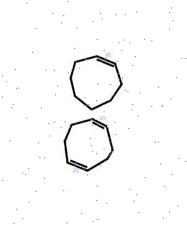 C1=C\CC/C=C\CC/1.C1=C\CCCCCC/1